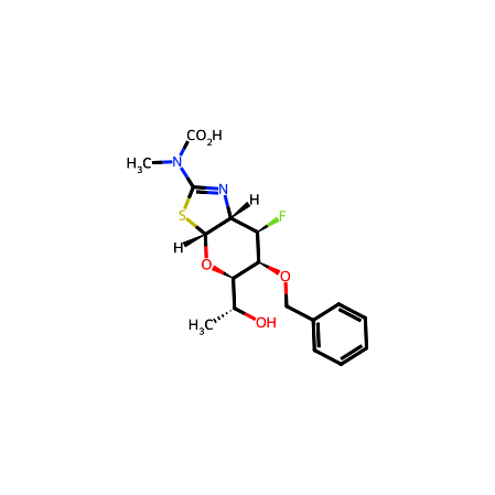 C[C@@H](O)[C@H]1O[C@@H]2SC(N(C)C(=O)O)=N[C@@H]2[C@@H](F)[C@H]1OCc1ccccc1